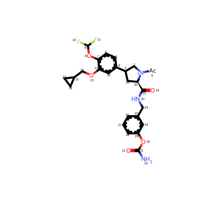 CC(=O)N1CC(c2ccc(OC(F)F)c(OCC3CC3)c2)C[C@@H]1C(=O)NCc1cccc(OC(N)=O)c1